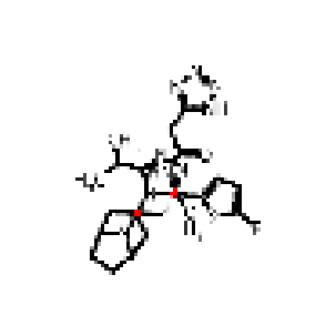 Cc1nnc(C(C)C)n1C1CC2CCC(C1)N2CC[C@H](NC(=O)Cc1nnn[nH]1)c1ccc(F)s1